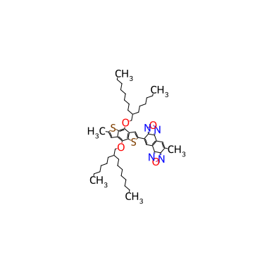 CCCCCCCCC(CCCCCC)COc1c2cc(-c3cc4c(cc(C)c5nonc54)c4nonc34)sc2c(OCC(CCCCCC)CCCCCCCC)c2cc(C)sc12